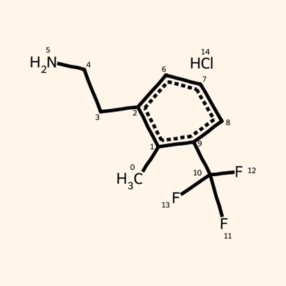 Cc1c(CCN)cccc1C(F)(F)F.Cl